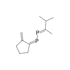 C=C1CCC/C1=P/P=C(\C)C(C)C